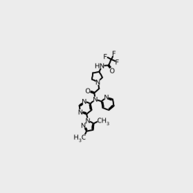 Cc1cc(C)n(-c2cc(N(C(=O)CN3CCC(NC(=O)C(F)(F)F)C3)c3ccccn3)ncn2)n1